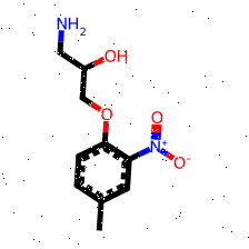 Cc1ccc(OCC(O)CN)c([N+](=O)[O-])c1